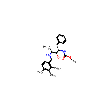 CCOC(=O)[C@H](NCc1ccc(OC)c(OC)c1OC)[C@H](O)[C@H](Cc1ccccc1)NC(=O)OC(C)(C)C